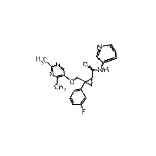 Cc1ncc(OCC2(c3cccc(F)c3)CC2C(=O)Nc2cccnc2)c(C)n1